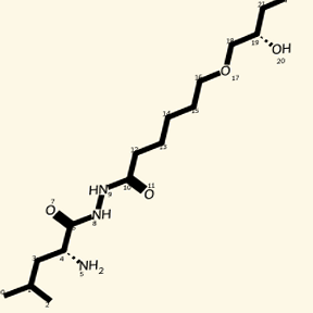 CC(C)C[C@@H](N)C(=O)NNC(=O)CCCCCOC[C@@H](O)CF